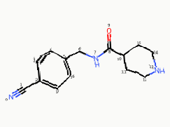 N#Cc1ccc(CNC(=O)C2CCNCC2)cc1